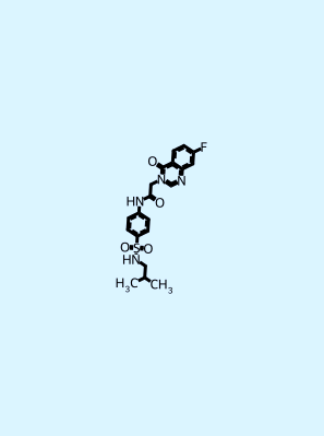 CC(C)CNS(=O)(=O)c1ccc(NC(=O)Cn2cnc3cc(F)ccc3c2=O)cc1